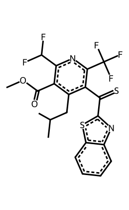 COC(=O)c1c(C(F)F)nc(C(F)(F)F)c(C(=S)c2nc3ccccc3s2)c1CC(C)C